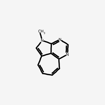 Cn1cc2c3c(ncnc31)C=CC=C2